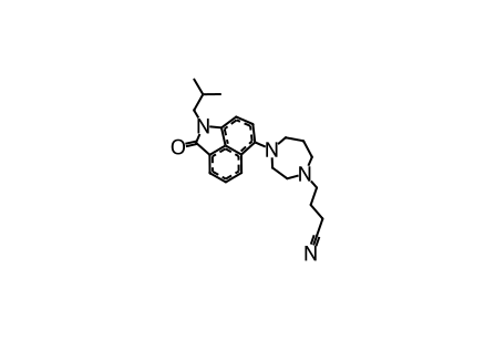 CC(C)CN1C(=O)c2cccc3c(N4CCCN(CCCC#N)CC4)ccc1c23